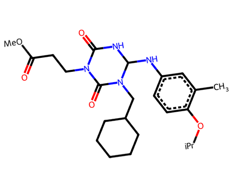 COC(=O)CCN1C(=O)NC(Nc2ccc(OC(C)C)c(C)c2)N(CC2CCCCC2)C1=O